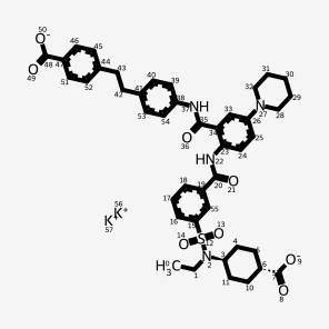 CCN([C@H]1CC[C@H](C(=O)[O-])CC1)S(=O)(=O)c1cccc(C(=O)Nc2ccc(N3CCCCC3)cc2C(=O)Nc2ccc(CCc3ccc(C(=O)[O-])cc3)cc2)c1.[K+].[K+]